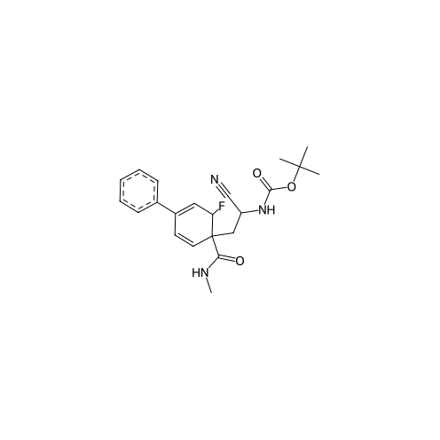 CNC(=O)C1(CC(C#N)NC(=O)OC(C)(C)C)C=CC(c2ccccc2)=CC1F